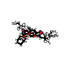 CC(C)(C)CS(=O)(=O)c1cc(CNC(=O)CC(C)(C)O[Si](C)(C)C(C)(C)C)nc(N2C3CCC2CN(C(=O)c2ccc(F)cc2Cl)C3)c1